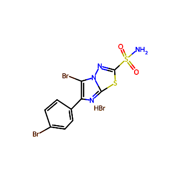 Br.NS(=O)(=O)c1nn2c(Br)c(-c3ccc(Br)cc3)nc2s1